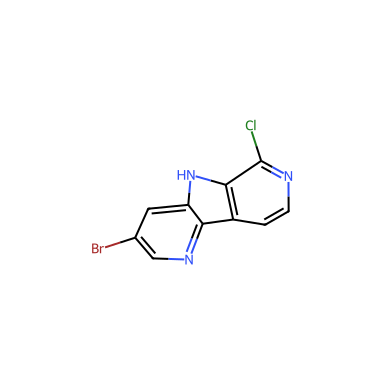 Clc1nccc2c1[nH]c1cc(Br)cnc12